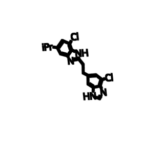 CC(C)c1cc(Cl)c2[nH]c(CCc3cc(Cl)c4nc[nH]c4c3)nc2c1